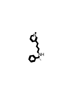 C[C@@H](NCCCCC1=CN(C)CC=C1)c1ccccc1